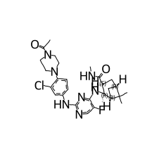 CNC(=O)[C@H]1C[C@H]2C[C@H](C2(C)C)[C@@]1(C)Nc1nc(Nc2ccc(N3CCN(C(C)=O)CC3)c(Cl)c2)ncc1F